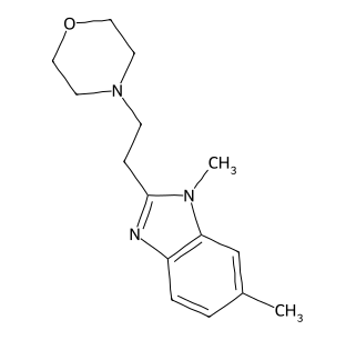 Cc1ccc2nc(CCN3CCOCC3)n(C)c2c1